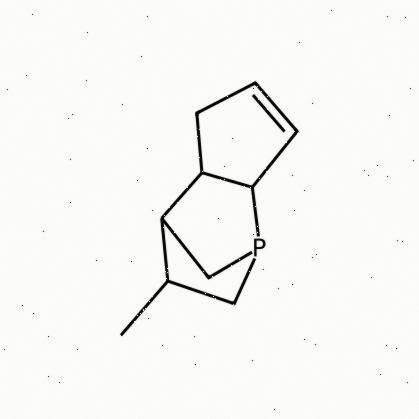 CC1CP2CC1C1CC=CC12